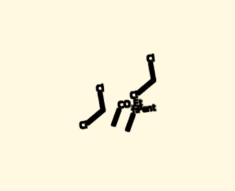 CCCCCC.CCOC(C)=O.ClCCl.ClCCl